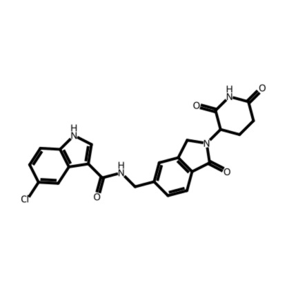 O=C1CCC(N2Cc3cc(CNC(=O)c4c[nH]c5ccc(Cl)cc45)ccc3C2=O)C(=O)N1